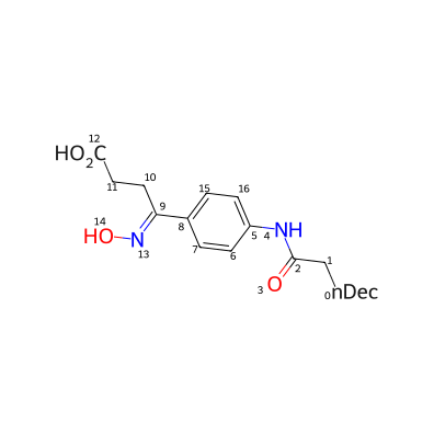 CCCCCCCCCCCC(=O)Nc1ccc(C(CCC(=O)O)=NO)cc1